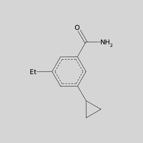 CCc1cc(C(N)=O)cc(C2CC2)c1